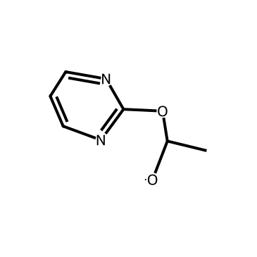 CC([O])Oc1ncccn1